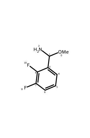 COC(N)c1cccc(F)c1F